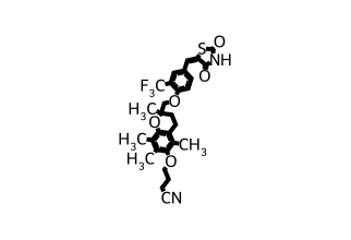 Cc1c(C)c2c(c(C)c1OCCCC#N)CCC(C)(COc1ccc(C=C3SC(=O)NC3=O)cc1C(F)(F)F)O2